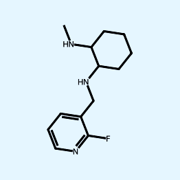 CNC1CCCCC1NCc1cccnc1F